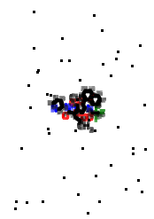 COC(=O)C1=C(C(=O)Nc2cccnc2)C2OC1(C(Cc1ccccc1)N(C(=O)C(F)(F)F)c1ccccc1)OC2C